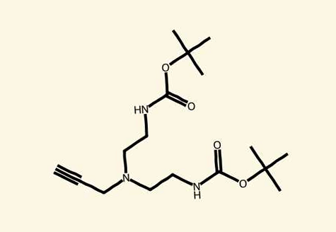 C#CCN(CCNC(=O)OC(C)(C)C)CCNC(=O)OC(C)(C)C